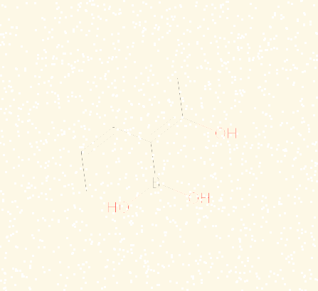 C/C=C\C(B(O)O)=C(/C)O